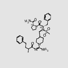 CC(CCc1ccccc1)C(=O)N=C(N)N1CCC(CN([C@H](Cc2ccccc2)C(=O)N2CCC[C@H]2C(N)=O)S(C)(=O)=O)CC1